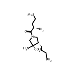 BCCC[C@H]1CN(C(=O)[C@@H](N)CCSC)C[C@@]1(N)C(=O)O